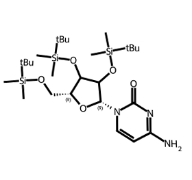 CC(C)(C)[Si](C)(C)OC[C@H]1O[C@@H](n2ccc(N)nc2=O)C(O[Si](C)(C)C(C)(C)C)C1O[Si](C)(C)C(C)(C)C